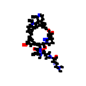 CCc1ncccc1-c1c2c3cc(ccc3n1CC)-c1cc(O)cc(c1)C[C@H](NC(=O)[C@H](C(C)C)N(C)C(=O)C1CN(C(=O)/C=C/CN(C)C)C1)C(=O)N1CCC[C@H](N1)C(=O)OCC(C)(C)C2